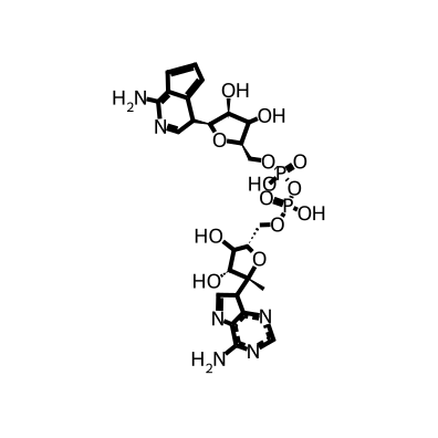 C[C@]1(C2C=Nc3c(N)ncnc32)O[C@@H](COP(=O)(O)OP(=O)(O)OC[C@H]2O[C@@H](C3C=NC(N)=C4C=CC=C43)[C@@H](O)C2O)C(O)[C@H]1O